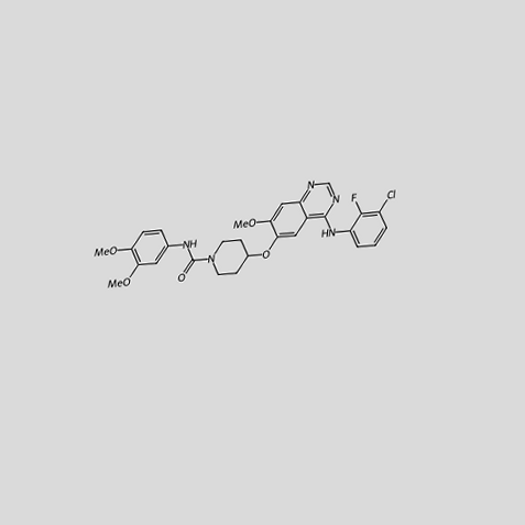 COc1ccc(NC(=O)N2CCC(Oc3cc4c(Nc5cccc(Cl)c5F)ncnc4cc3OC)CC2)cc1OC